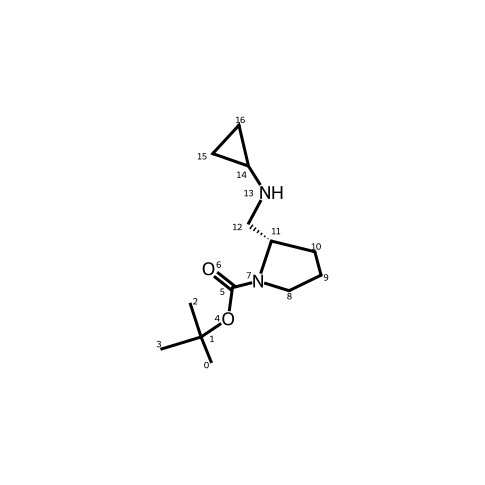 CC(C)(C)OC(=O)N1CCC[C@H]1CNC1CC1